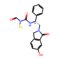 O=CN(S)C(=O)N[C@@H](CN1Cc2ccc(O)cc2C1=O)c1ccccc1